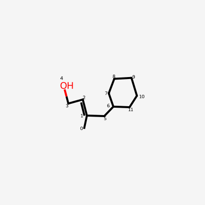 CC(=CCO)CC1CCCCC1